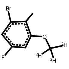 [2H]C([2H])([2H])Oc1cc(F)cc(Br)c1C